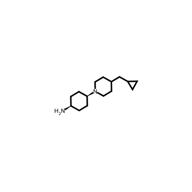 N[C@H]1CC[C@@H](N2CCC(CC3CC3)CC2)CC1